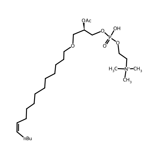 CCCC/C=C\CCCCCCCCCCOC[C@H](COP(=O)(O)OCC[N+](C)(C)C)OC(C)=O